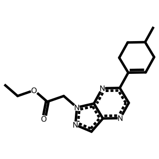 CCOC(=O)Cn1ncc2ncc(C3=CCC(C)CC3)nc21